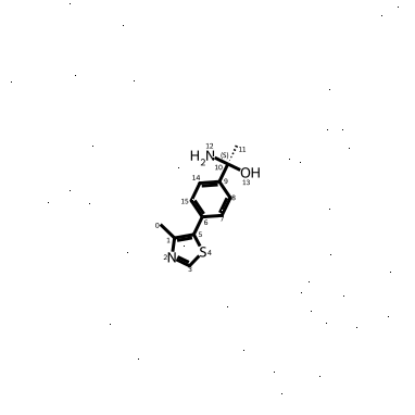 Cc1ncsc1-c1ccc([C@@](C)(N)O)cc1